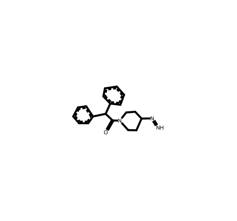 N=NC1CCN(C(=O)C(c2ccccc2)c2ccccc2)CC1